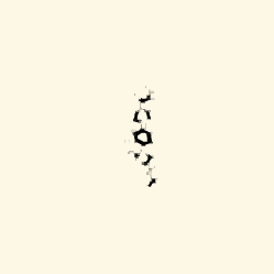 CC(=S)NC[C@H]1CN(c2ccc(N3CCN(C(=S)CN)CC3)c(F)c2)C(=O)O1.Cl